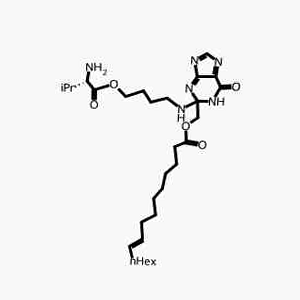 CCCCCCC=CCCCCCCCC(=O)OCC1(NCCCCOC(=O)[C@@H](N)C(C)C)N=C2N=CN=C2C(=O)N1